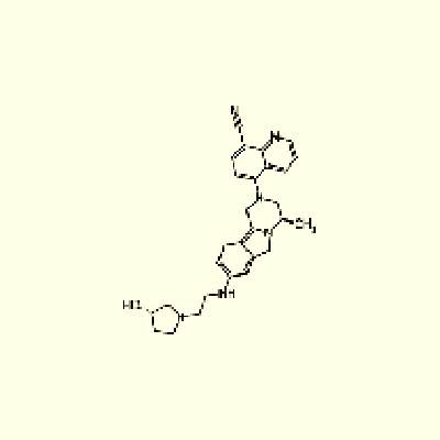 C[C@@H]1CN(c2ccc(C#N)c3ncccc23)CC2=C3CC=C(NCCN4CC[C@H](O)C4)C=C3CN21